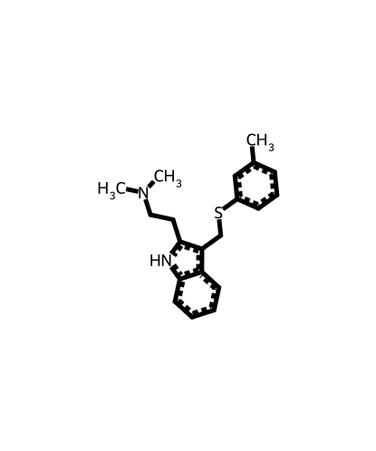 Cc1cccc(SCc2c(CCN(C)C)[nH]c3ccccc23)c1